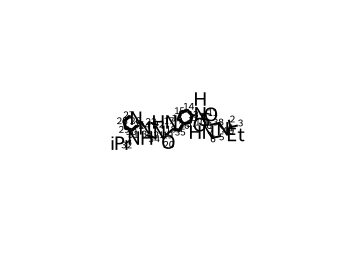 CCC(C)(C)N1CCNC(S(=O)(=O)Nc2ccc3[nH]c(C(=O)N4CCN(c5ncccc5NC(C)C)CC4)cc3c2)C1